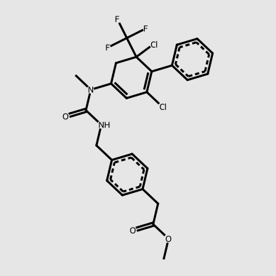 COC(=O)Cc1ccc(CNC(=O)N(C)C2=CC(Cl)=C(c3ccccc3)C(Cl)(C(F)(F)F)C2)cc1